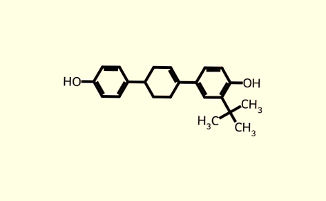 CC(C)(C)c1cc(C2=CCC(c3ccc(O)cc3)CC2)ccc1O